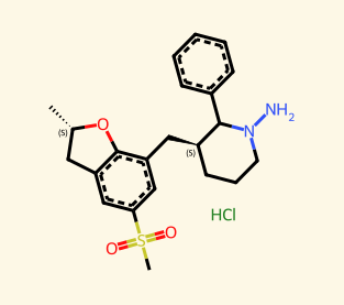 C[C@H]1Cc2cc(S(C)(=O)=O)cc(C[C@@H]3CCCN(N)C3c3ccccc3)c2O1.Cl